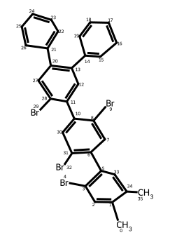 Cc1cc(Br)c(-c2cc(Br)c(-c3cc(-c4ccccc4)c(-c4ccccc4)cc3Br)cc2Br)cc1C